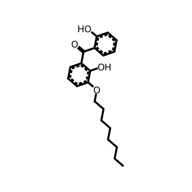 CCCCCCCCOc1cccc(C(=O)c2ccccc2O)c1O